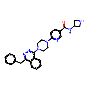 O=C(NC1CNC1)c1ccc(N2CCN(c3nnc(Cc4ccccc4)c4ccccc34)CC2)nc1